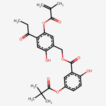 C=C(C)C(=O)Oc1cc(COC(=O)c2cc(OC(=O)C(C)(C)C)ccc2O)c(O)cc1C(=O)CC